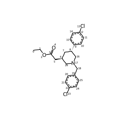 CCOC(=O)C[C@H]1C[C@H](c2ccc(Cl)cc2)CN(Cc2ccc(Cl)cc2)C1